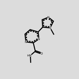 CNC(=O)c1nccc(-c2cncn2C)n1